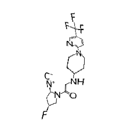 [C-]#[N+][C@@H]1C[C@H](F)CN1C(=O)CNC1CCN(c2ccc(C(F)(F)F)cn2)CC1